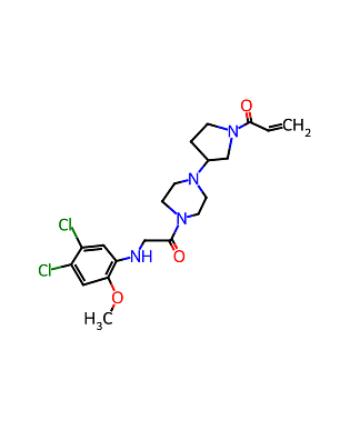 C=CC(=O)N1CCC(N2CCN(C(=O)CNc3cc(Cl)c(Cl)cc3OC)CC2)C1